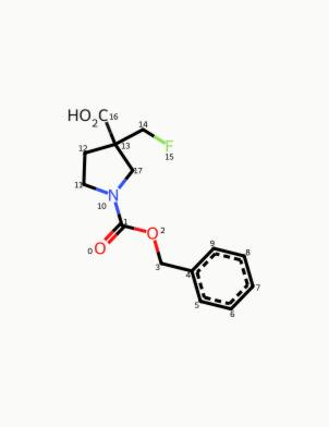 O=C(OCc1ccccc1)N1CCC(CF)(C(=O)O)C1